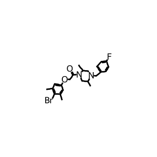 Cc1cc(OCC(=O)N2CC(C)N(Cc3ccc(F)cc3)CC2C)cc(C)c1Br